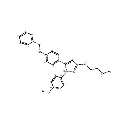 COCCOc1cc(-c2ccc(OCc3ccccc3)cc2)n(-c2ccc(OC)cc2)n1